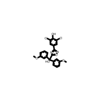 COc1cccc(C(O)(c2cccc(OC)c2)c2nc(-c3cc(Cl)c(O)c(Cl)c3)no2)c1